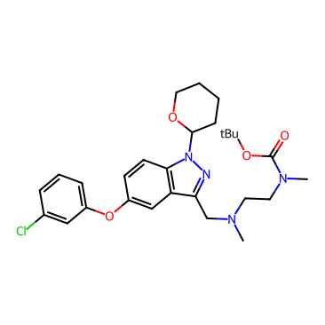 CN(CCN(C)C(=O)OC(C)(C)C)Cc1nn(C2CCCCO2)c2ccc(Oc3cccc(Cl)c3)cc12